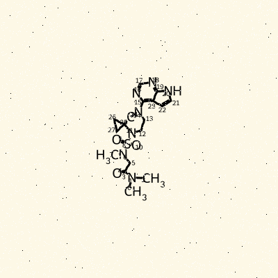 CN(C)C(=O)CN(C)S(=O)(=O)N1CCN(c2ncnc3[nH]ccc23)CC12CC2